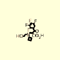 O=C(O)C(=CN(CCO)C1CCC1)C(=O)c1cc(F)c(F)c(F)c1F